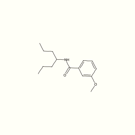 CCCC(CCC)NC(=O)c1cccc(OC)c1